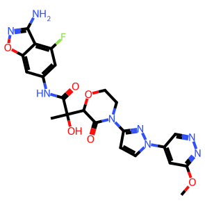 COc1cc(-n2ccc(N3CCOC(C(C)(O)C(=O)Nc4cc(F)c5c(N)noc5c4)C3=O)n2)cnn1